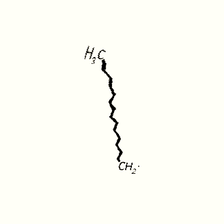 [CH2]CCCCCCCCCCCC/C=C/C